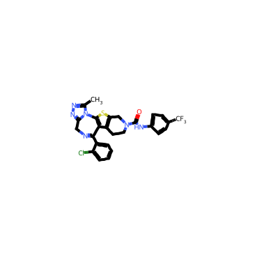 Cc1nnc2n1-c1sc3c(c1C(c1ccccc1Cl)=NC2)CCN(C(=O)Nc1ccc(C(F)(F)F)cc1)C3